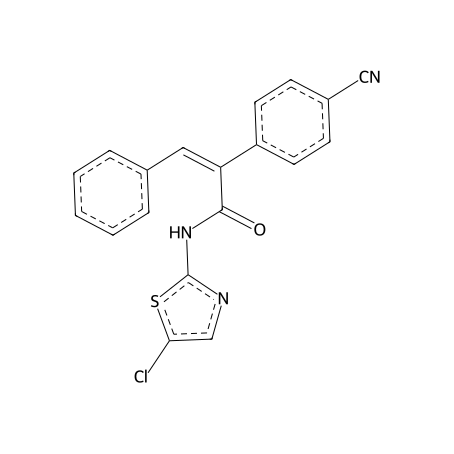 N#Cc1ccc(C(=Cc2ccccc2)C(=O)Nc2ncc(Cl)s2)cc1